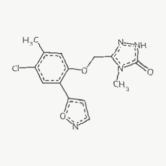 Cc1cc(OCc2n[nH]c(=O)n2C)c(-c2ccno2)cc1Cl